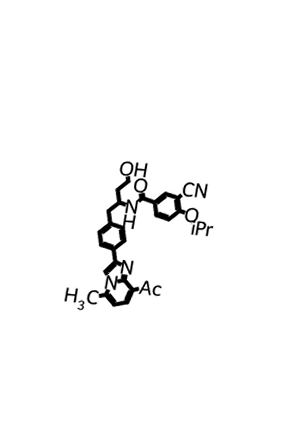 CC(=O)c1ccc(C)n2cc(-c3ccc(CC(CCO)NC(=O)c4ccc(OC(C)C)c(C#N)c4)cc3)nc12